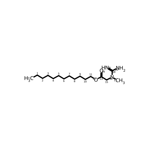 CCCCCCCCCCCCOC(=O)CN(C)C(=N)N